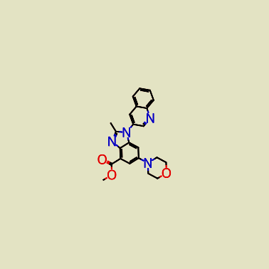 COC(=O)c1cc(N2CCOCC2)cc2c1nc(C)n2-c1cnc2ccccc2c1